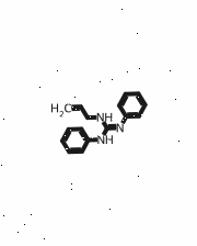 C=CCN/C(=N\c1ccccc1)Nc1ccccc1